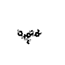 C=CC(=O)Nc1cc2c(Nc3ccc(F)c(CI)c3)ncnc2cc1C(C)(C)N(C)C1CCN(C)CC1